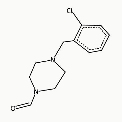 O=CN1CCN(Cc2ccccc2Cl)CC1